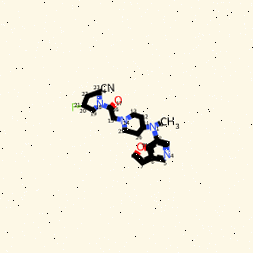 CN(c1cncc2ccoc12)C1CCN(CC(=O)N2C[C@@H](F)C[C@H]2C#N)CC1